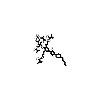 C=C(C)C(=O)OCCCc1cc(-c2ccc(C3CCC(CCCCC)CC3)cc2F)cc(CCCOC(=O)C(=C)C)c1OCC(COC(=O)C(=C)C)(COC(=O)C(=C)C)CC1COC(=O)OC1